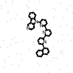 c1cc(-c2cccc(-c3cccc4ccccc34)n2)nc(-c2cccc(-n3c4ccccc4c4cnccc43)n2)c1